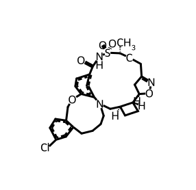 C[C@@H]1CCC2=NO[C@H](C2)[C@@H]2CC[C@H]2CN2CCCCc3cc(Cl)ccc3COc3ccc(cc32)C(=O)NS1(=O)=O